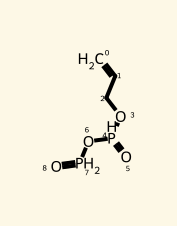 C=CCO[PH](=O)O[PH2]=O